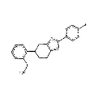 NCc1cccnc1C1CCc2oc(-c3ccc(F)cc3)nc2C1